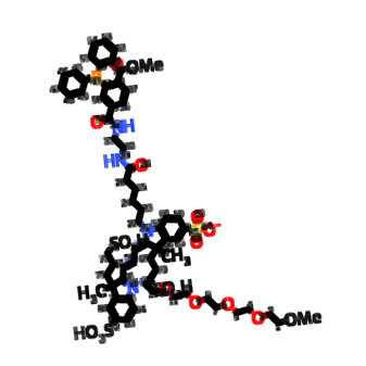 COCCOCCOCCOCCOCC[N+]1=C(/C=C/C=C2/N(CCCCCC(=O)NCCNC(=O)c3ccc(C(=O)OC)c(P(c4ccccc4)c4ccccc4)c3)c3ccc(S(=O)(=O)[O-])cc3C2(C)CCCS(=O)(=O)O)C(C)(CCCS(=O)(=O)O)c2cc(S(=O)(=O)O)ccc21